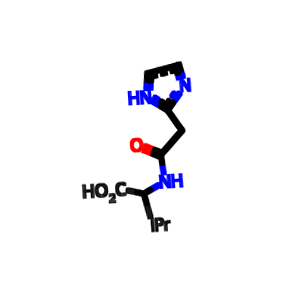 CC(C)C(NC(=O)Cc1ncc[nH]1)C(=O)O